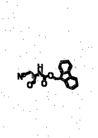 N#CC[C@@H](C=O)NC(=O)OCC1c2ccccc2-c2ccccc21